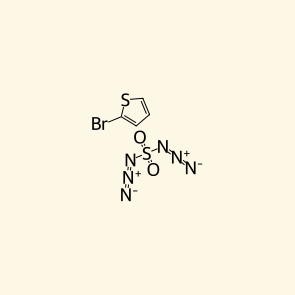 Brc1cccs1.[N-]=[N+]=NS(=O)(=O)N=[N+]=[N-]